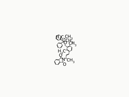 Cc1ccc(C=CC(C)N2C(=O)c3ccccc3C2=O)c(C)c1CO[Si](c1ccccc1)(c1ccccc1)C(C)(C)C